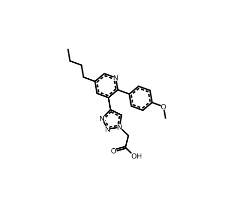 CCCCc1cnc(-c2ccc(OC)cc2)c(-c2cn(CC(=O)O)nn2)c1